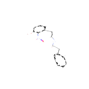 COc1cccc(CCNC(O)Cc2ccccc2)c1[N+](=O)[O-]